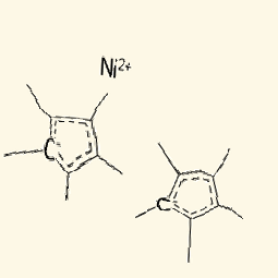 Cc1c(C)c(C)[c-](C)c1C.Cc1c(C)c(C)[c-](C)c1C.[Ni+2]